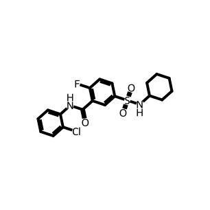 O=C(Nc1ccccc1Cl)c1cc(S(=O)(=O)NC2CCCCC2)ccc1F